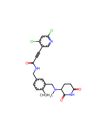 CN(Cc1cc(CNC(=O)C#Cc2cnc(Cl)cc2Cl)ccc1C=O)C1CCC(=O)NC1=O